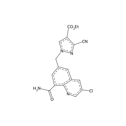 CCOC(=O)c1cn(Cc2cc(C(N)=O)c3ncc(Cl)cc3c2)nc1C#N